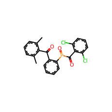 Cc1cccc(C)c1C(=O)c1ccccc1[P](=O)C(=O)c1c(Cl)cccc1Cl